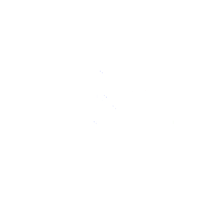 CC(C)C[C@@H]1CCCN(c2ccc(CC(F)F)c(C(=O)c3cccnc3N)n2)C1